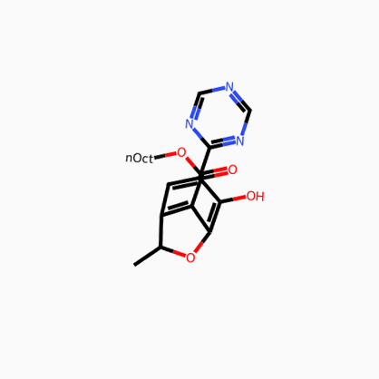 CCCCCCCCOC(=O)c1c2cc(-c3ncncn3)c(O)c1OC2C